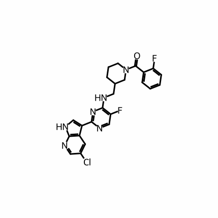 O=C(c1ccccc1F)N1CCCC(CNc2nc(-c3c[nH]c4ncc(Cl)cc34)ncc2F)C1